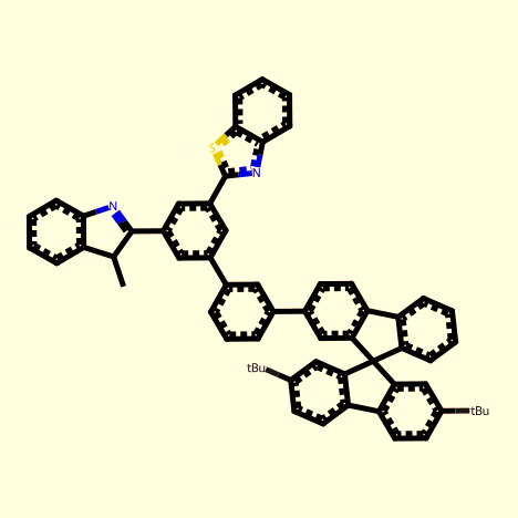 CC1C(c2cc(-c3cccc(-c4ccc5c(c4)C4(c6ccccc6-5)c5cc(C(C)(C)C)ccc5-c5ccc(C(C)(C)C)cc54)c3)cc(-c3nc4ccccc4s3)c2)=Nc2ccccc21